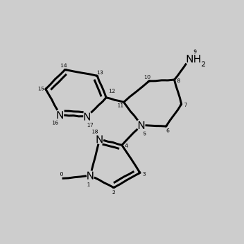 Cn1ccc(N2CCC(N)CC2c2cccnn2)n1